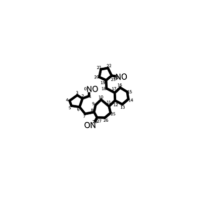 O=NCC1CCCC1CC1CCC(C2CCCCC2CC2CCCC2N=O)CCC1N=O